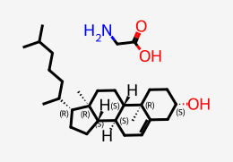 CC(C)CCCC(C)[C@H]1CC[C@H]2[C@@H]3CC=C4C[C@@H](O)CC[C@]4(C)[C@H]3CC[C@]12C.NCC(=O)O